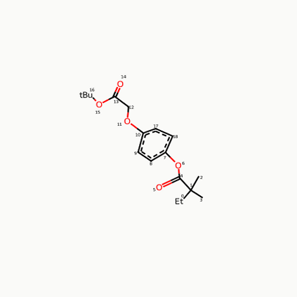 CCC(C)(C)C(=O)Oc1ccc(OCC(=O)OC(C)(C)C)cc1